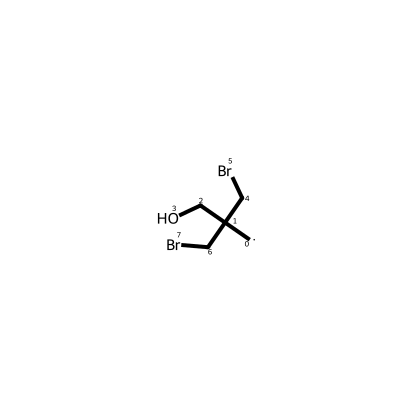 [CH2]C(CO)(CBr)CBr